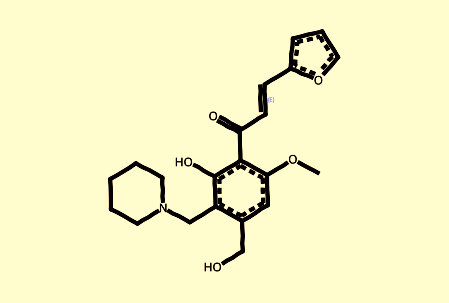 COc1cc(CO)c(CN2CCCCC2)c(O)c1C(=O)/C=C/c1ccco1